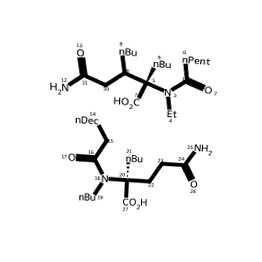 CCCCCC(=O)N(CC)[C@](CCCC)(C(=O)O)C(CCCC)CC(N)=O.CCCCCCCCCCCC(=O)N(CCCC)[C@@](CCCC)(CCC(N)=O)C(=O)O